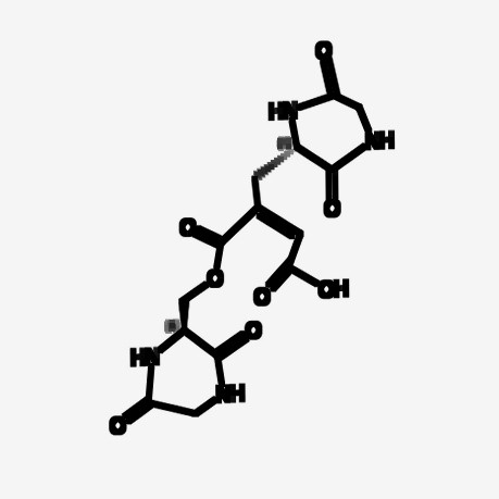 O=C(O)C=C(C[C@@H]1NC(=O)CNC1=O)C(=O)OC[C@@H]1NC(=O)CNC1=O